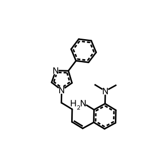 CN(C)c1cccc(/C=C\CCn2cnc(-c3ccccc3)c2)c1N